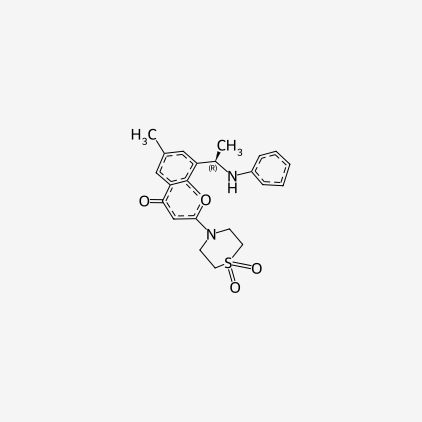 Cc1cc([C@@H](C)Nc2ccccc2)c2oc(N3CCS(=O)(=O)CC3)cc(=O)c2c1